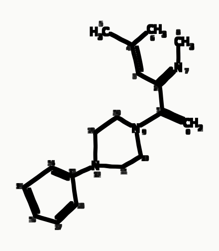 C=C(/C(C=C(C)C)=N/C)N1CCN(c2ccccc2)CC1